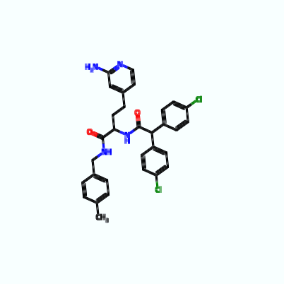 Cc1ccc(CNC(=O)C(CCc2ccnc(N)c2)NC(=O)C(c2ccc(Cl)cc2)c2ccc(Cl)cc2)cc1